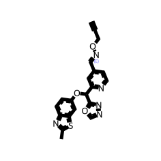 C#CCO/N=C/c1ccnc(C(Oc2ccc3nc(C)sc3c2)c2nnco2)c1